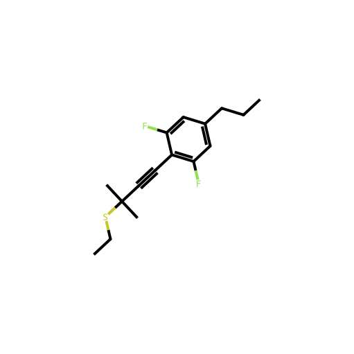 CCCc1cc(F)c(C#CC(C)(C)SCC)c(F)c1